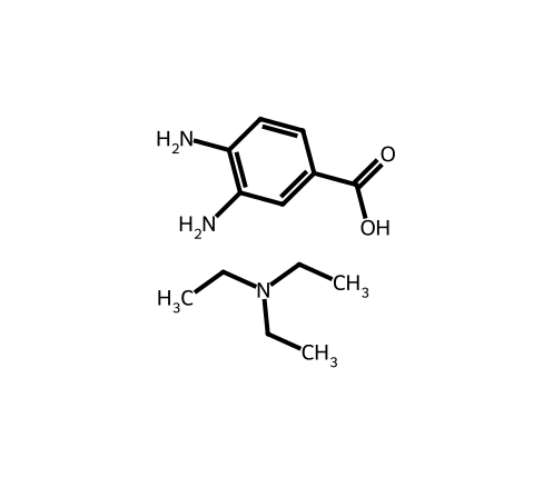 CCN(CC)CC.Nc1ccc(C(=O)O)cc1N